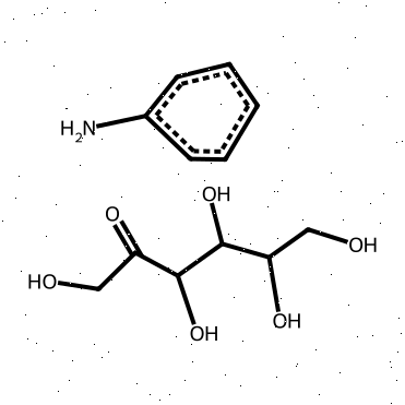 Nc1ccccc1.O=C(CO)C(O)C(O)C(O)CO